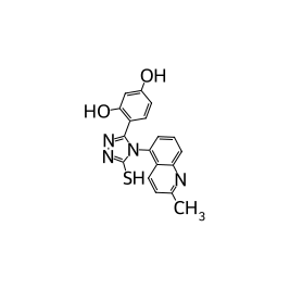 Cc1ccc2c(-n3c(S)nnc3-c3ccc(O)cc3O)cccc2n1